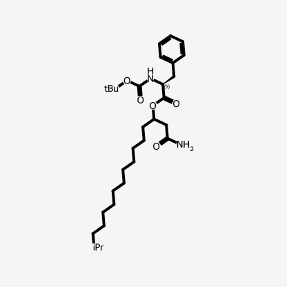 CC(C)CCCCCCCCCCCC(CC(N)=O)OC(=O)[C@H](Cc1ccccc1)NC(=O)OC(C)(C)C